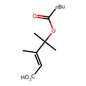 CCCCC(=O)OC(C)(C)C(C)=CC(=O)O